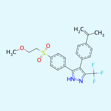 C=C(C)c1ccc(-c2c(C(F)(F)F)n[nH]c2-c2ccc(S(=O)(=O)CCOC)cc2)cc1